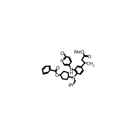 COC(=O)C[C@@H](C)c1ccc(N(CC(C)C)C2CCC(OC(=O)c3ccccc3)CC2)c(Nc2ccc(Cl)nc2)c1